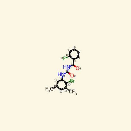 O=C(NC(=O)c1ccccc1F)Nc1cc(C(F)(F)F)cc(C(F)(F)F)c1Br